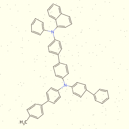 Cc1ccc(-c2ccc(N(c3ccc(-c4ccccc4)cc3)c3ccc(-c4ccc(N(c5ccccc5)c5cccc6ccccc56)cc4)cc3)cc2)cc1